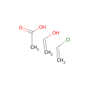 C=CCl.C=CO.CC(=O)O